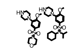 COc1ccc(S(=O)(=O)N(C(C)C)C2CCCCC2)cc1N1CCNCC1.COc1ccc(S(=O)(=O)N2CCOCC2)cc1N1CCNCC1